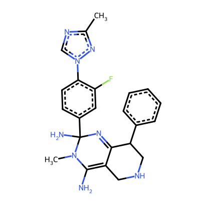 Cc1ncn(-c2ccc(C3(N)N=C4C(=C(N)N3C)CNCC4c3ccccc3)cc2F)n1